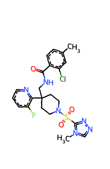 Cc1ccc(C(=O)NCC2(c3ncccc3F)CCN(S(=O)(=O)c3nncn3C)CC2)c(Cl)c1